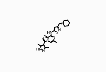 Cc1cn2c(-c3c(C)n[nH]c3C)cnc2c(Nc2cc(CN3CCCCC3)ns2)n1